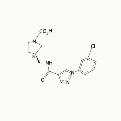 O=C(NC[C@H]1CCN(C(=O)O)C1)c1cn(-c2cccc(Cl)c2)nn1